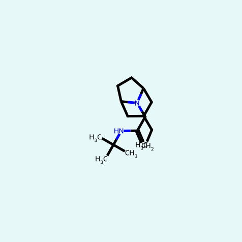 C=C(CN1C2CCC1CC(CC)C2)NC(C)(C)C